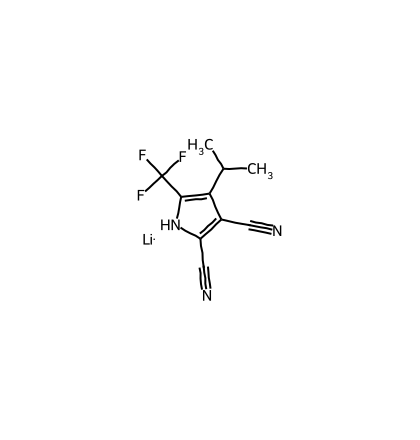 CC(C)c1c(C(F)(F)F)[nH]c(C#N)c1C#N.[Li]